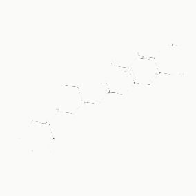 COc1cc(OC(=O)CN(CCN(CC(=O)O)CC(=O)O)CC(=O)O)c([N+](=O)[O-])cc1OC